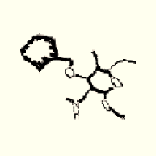 CC[C@H]1O[C@@H](OC)[C@@H](NC)[C@@H](OCc2ccccc2)[C@H]1C